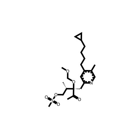 COCO[C@@](Cc1cc(CCCCC2CC2)c(C)cn1)(C(C)=O)[C@@H](C)COS(C)(=O)=O